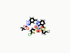 CC(C)(C)OC(=O)NCc1cccc(Cn2nc(N(S(=O)(=O)c3ccc(Cl)s3)S(=O)(=O)c3ccc(Cl)s3)c3c(C(F)F)cccc32)c1